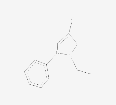 CCN1CC(Cl)=CN1c1ccccc1